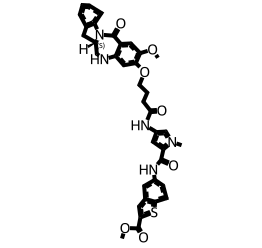 COC(=O)c1cc2cc(NC(=O)c3cc(NC(=O)CCCOc4cc5c(cc4OC)C(=O)N4c6ccccc6C[C@H]4CN5)cn3C)ccc2s1